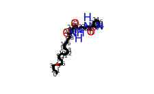 CC/C=C\C/C=C\C/C=C\C/C=C\C/C=C\CCCC(=O)N[C@@H](C)C(=O)NCCNC(=O)c1cccnc1